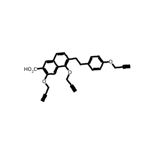 C#CCOc1ccc(CCc2ccc3cc(C(=O)O)c(OCC#C)cc3c2OCC#C)cc1